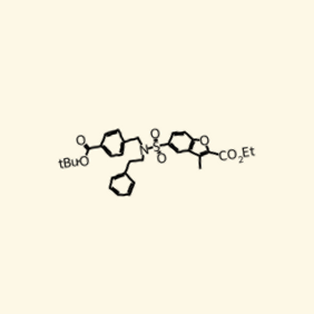 CCOC(=O)c1oc2ccc(S(=O)(=O)N(CCc3ccccc3)Cc3ccc(C(=O)OC(C)(C)C)cc3)cc2c1C